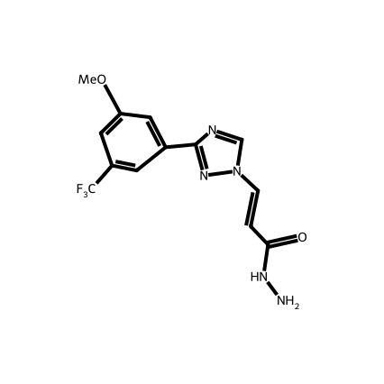 COc1cc(-c2ncn(C=CC(=O)NN)n2)cc(C(F)(F)F)c1